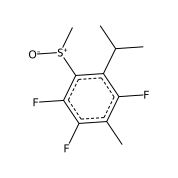 Cc1c(F)c(F)c([S+](C)[O-])c(C(C)C)c1F